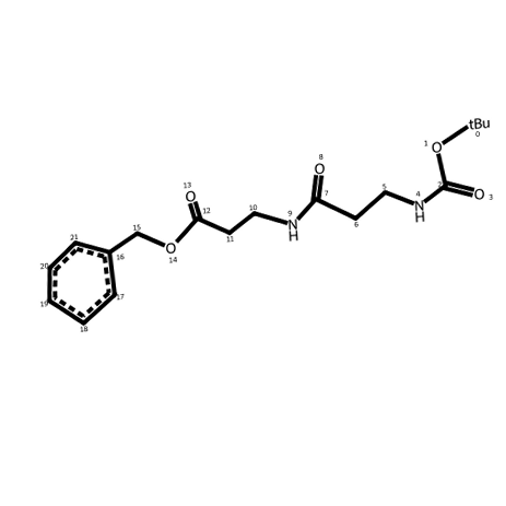 CC(C)(C)OC(=O)NCCC(=O)NCCC(=O)OCc1ccccc1